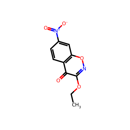 CCOc1noc2cc([N+](=O)[O-])ccc2c1=O